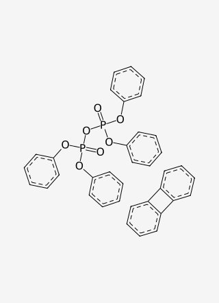 O=P(Oc1ccccc1)(Oc1ccccc1)OP(=O)(Oc1ccccc1)Oc1ccccc1.c1ccc2c(c1)-c1ccccc1-2